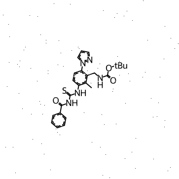 Cc1c(NC(=S)NC(=O)c2ccccc2)ccc(-n2cccn2)c1CNC(=O)OC(C)(C)C